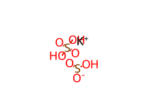 O=S(=O)(O)O.O=S([O-])O.[K+]